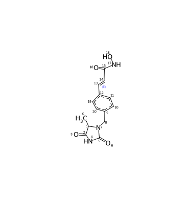 CC1C(=O)NC(=O)N1Cc1ccc(/C=C/C(=O)NO)cc1